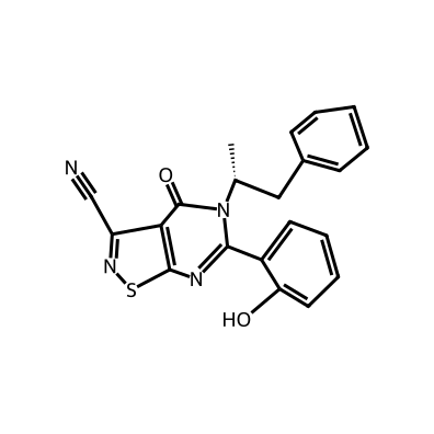 C[C@H](Cc1ccccc1)n1c(-c2ccccc2O)nc2snc(C#N)c2c1=O